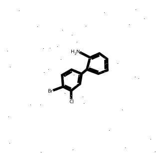 Nc1ccccc1-c1ccc(Br)c(Cl)c1